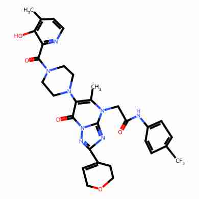 Cc1ccnc(C(=O)N2CCN(c3c(C)n(CC(=O)Nc4ccc(C(F)(F)F)cc4)c4nc(C5=CCOCC5)nn4c3=O)CC2)c1O